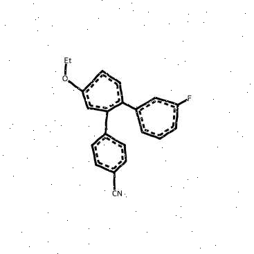 CCOc1ccc(-c2cccc(F)c2)c(-c2ccc(C#N)cc2)c1